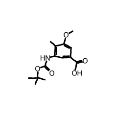 COc1cc(C(=O)O)cc(NC(=O)OC(C)(C)C)c1C